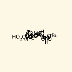 COc1c(N2CCC(=C(Cl)CNC(=O)CNC(=O)OC(C)(C)C)CC2)c(F)cc2c(=O)c(C(=O)O)cn(C3CC3)c12